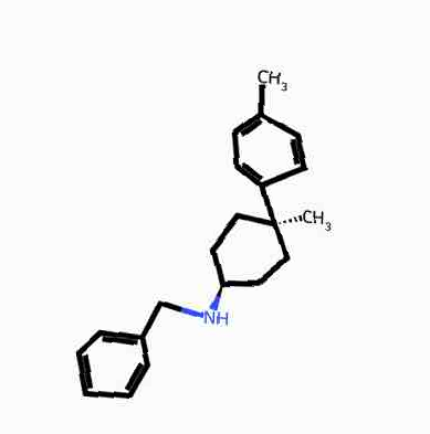 Cc1ccc([C@]2(C)CC[C@H](NCc3ccccc3)CC2)cc1